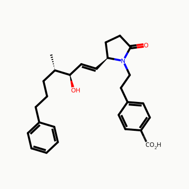 C[C@@H](CCCc1ccccc1)[C@H](O)C=C[C@H]1CCC(=O)N1CCc1ccc(C(=O)O)cc1